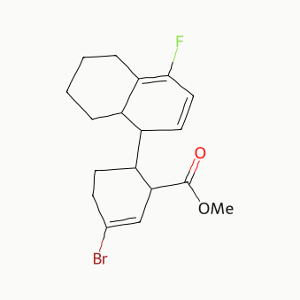 COC(=O)C1C=C(Br)CCC1C1C=CC(F)=C2CCCCC21